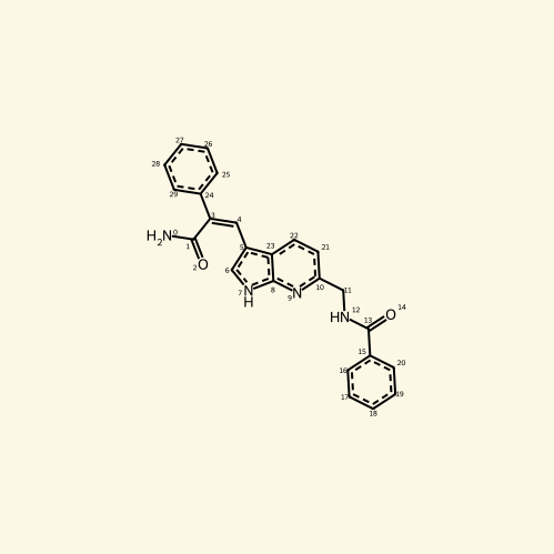 NC(=O)C(=Cc1c[nH]c2nc(CNC(=O)c3ccccc3)ccc12)c1ccccc1